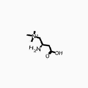 C[N+](C)(C)C[C@H](N)CC(=O)O